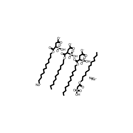 CCCCCCCCCCCCOC(=O)C(CC(=O)[O-])S(=O)(=O)O.CCCCCCCCCCCCOC(=O)C(CC(=O)[O-])S(=O)(=O)O.CCCCCCCCCCCCOC(=O)C(CC(=O)[O-])S(=O)(=O)O.CCCCCCCCCCCCOC(=O)CS(=O)(=O)O.[Na+].[Na+].[Na+]